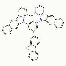 c1ccc2cc3c(cc2c1)c1cccc2c1n3-c1cc(-c3ccc4c(c3)oc3ccccc34)cc3c1B2c1cccc2c4cc5ccccc5cc4n-3c12